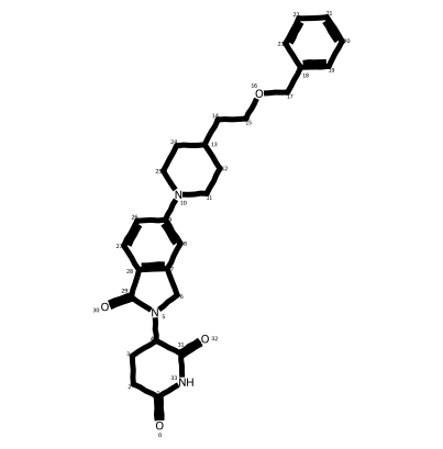 O=C1CCC(N2Cc3cc(N4CCC(CCOCc5ccccc5)CC4)ccc3C2=O)C(=O)N1